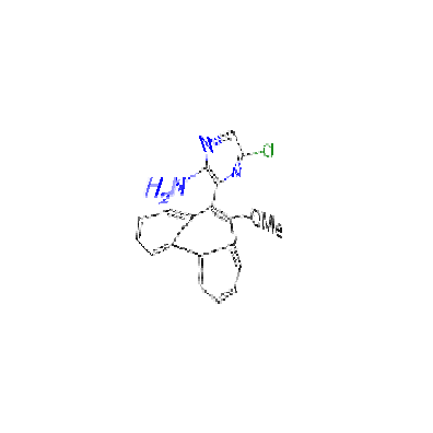 COc1c(-c2nc(Cl)cnc2N)c2ccccc2c2ccccc12